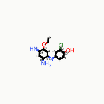 CCOC1=CC(=Nc2ccc(O)c(Cl)c2)C(N)=CC1=N